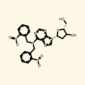 O=[N+]([O-])c1ccccc1CN(Cc1ccccc1[N+](=O)[O-])c1ncnc2c1ncn2[C@H]1CC(O)[C@@H](CO)O1